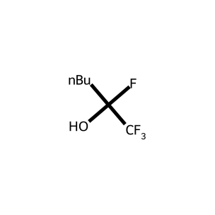 CCCCC(O)(F)C(F)(F)F